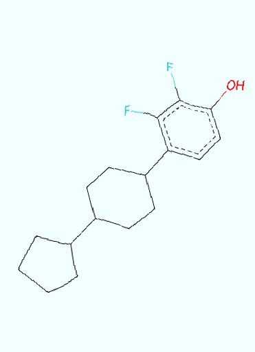 Oc1ccc(C2CCC(C3CCCC3)CC2)c(F)c1F